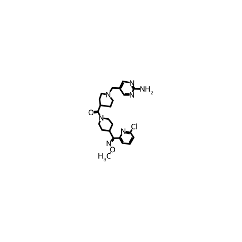 CO/N=C(\c1cccc(Cl)n1)C1CCN(C(=O)C2CCN(Cc3cnc(N)nc3)CC2)CC1